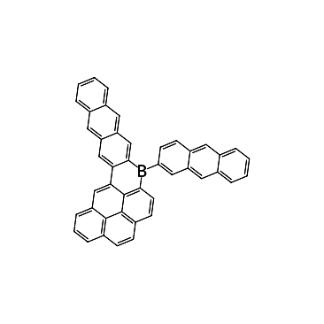 c1ccc2cc3cc(B4c5cc6cc7ccccc7cc6cc5-c5cc6cccc7ccc8ccc4c5c8c76)ccc3cc2c1